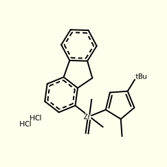 Cl.Cl.[CH2]=[Zr]([CH3])([CH3])([C]1=CC(C(C)(C)C)=CC1C)[c]1cccc2c1Cc1ccccc1-2